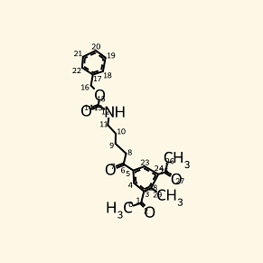 CC(=O)c1cc(C(=O)CCCCNC(=O)OCc2ccccc2)cc(C(C)=O)c1C